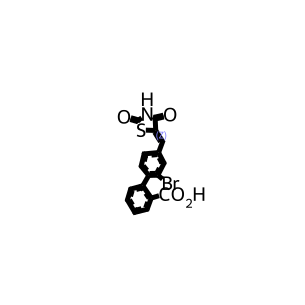 O=C1NC(=O)/C(=C/c2ccc(-c3ccccc3C(=O)O)c(Br)c2)S1